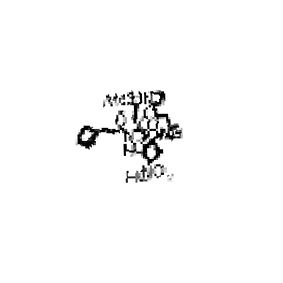 COC(=O)[C@](CCSC)(NC(=O)CCc1ccccc1)OC[C@]1(C(=O)Cc2cncn2Cc2ccc([N+](=O)[O-])cc2)CCCN1.Cl